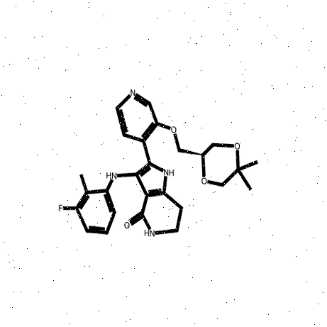 Cc1c(F)cccc1Nc1c(-c2ccncc2OC[C@H]2COC(C)(C)CO2)[nH]c2c1C(=O)NCC2